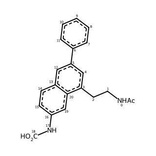 CC(=O)NCCc1cc(-c2ccccc2)cc2ccc(NC(=O)O)cc12